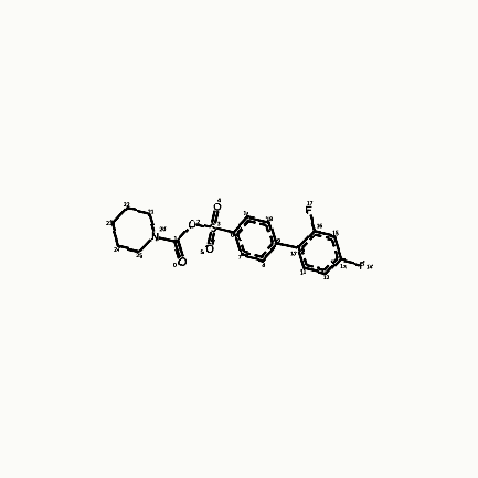 O=C(OS(=O)(=O)c1ccc(-c2ccc(F)cc2F)cc1)N1CCCCC1